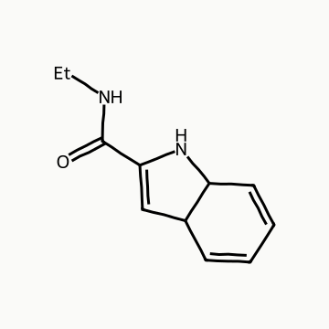 CCNC(=O)C1=CC2C=CC=CC2N1